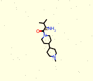 CC(C)[C@@H](N)C(=O)N1CCC(C2CCN(C)CC2)CC1